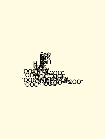 O.O.O=C([O-])CN(CCN(CC(=O)[O-])CC(=O)[O-])CC(=O)[O-].O=C([O-])CN(CCN(CC(=O)[O-])CC(=O)[O-])CC(=O)[O-].O=C([O-])CN(CCN(CC(=O)[O-])CC(=O)[O-])CC(=O)[O-].[Fe+3].[Fe+3].[Fe+3].[Fe+3].[NaH]